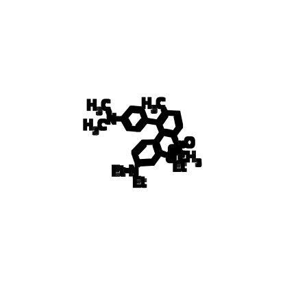 CCOc1cc(N(CC)CC)ccc1-c1c(S(C)(=O)=O)ccc(C)c1-c1ccc(N(C)C)cc1